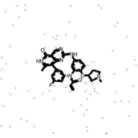 C=CC(=O)Nc1cc(Nc2ncc3c(=O)[nH]c(C)c(-c4cccc(F)c4)c3n2)ccc1OC1CCN(C)C1